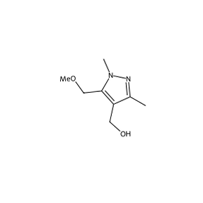 COCc1c(CO)c(C)nn1C